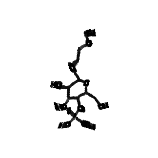 CC(C)(C)OCCOC1OC(CO)C(OP(=O)(O)C(C)(C)C)C(O)C1O